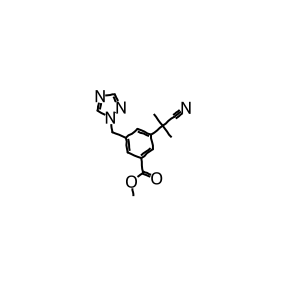 COC(=O)c1cc(Cn2cncn2)cc(C(C)(C)C#N)c1